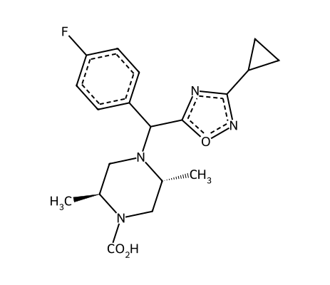 C[C@@H]1CN(C(=O)O)[C@@H](C)CN1C(c1ccc(F)cc1)c1nc(C2CC2)no1